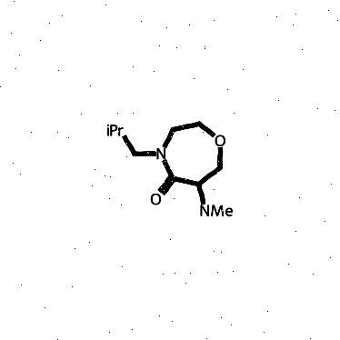 CNC1COCCN(CC(C)C)C1=O